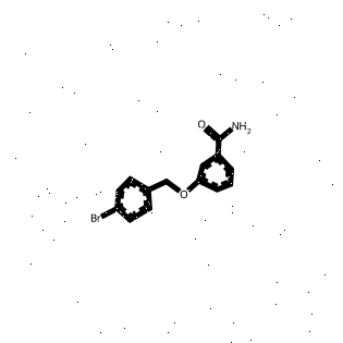 NC(=O)c1cccc(OCc2ccc(Br)cc2)c1